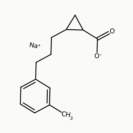 Cc1cccc(CCCC2CC2C(=O)[O-])c1.[Na+]